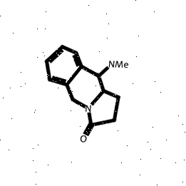 CNC1c2ccccc2CN2C(=O)CCC12